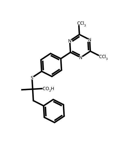 CC(Cc1ccccc1)(Sc1ccc(-c2nc(C(Cl)(Cl)Cl)nc(C(Cl)(Cl)Cl)n2)cc1)C(=O)O